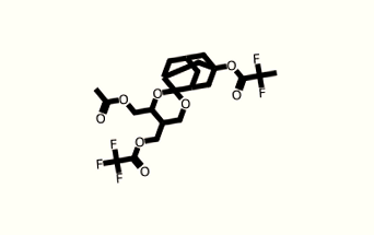 CC(=O)OCC1OC2(OCC1COC(=O)C(F)(F)F)C1CC3CC2CC(OC(=O)C(C)(F)F)(C3)C1